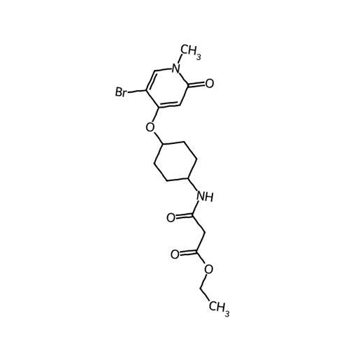 CCOC(=O)CC(=O)NC1CCC(Oc2cc(=O)n(C)cc2Br)CC1